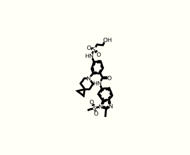 Cc1nc2ccc(NC(=O)c3ccc(NS(=O)(=O)CCO)cc3N3CCC4(CC3)CC4)cc2n1S(C)(=O)=O